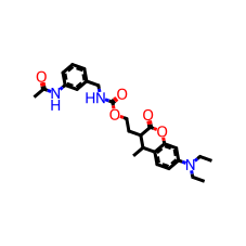 CCN(CC)c1ccc2c(c1)OC(=O)C(CCOC(=O)NCc1cccc(NC(C)=O)c1)C2C